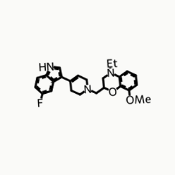 CCN1CC(CN2CC=C(c3c[nH]c4ccc(F)cc34)CC2)Oc2c(OC)cccc21